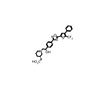 O=C(O)C[C@H]1CCCN(C[C@H](O)c2ccc(-c3noc(-c4cc(-c5ccccc5)c(C(F)(F)F)s4)n3)cc2)C1